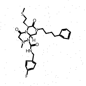 CSCC[C@H]1C(=O)N(CCCCc2ccccc2)C[C@H]2N1C(=O)CN(C)N2C(=O)NCc1ccc(F)cc1